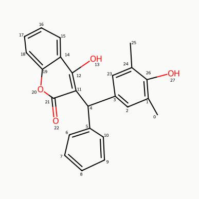 Cc1cc(C(c2ccccc2)c2c(O)c3ccccc3oc2=O)cc(C)c1O